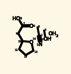 CC#N.CO.O.O=C(O)CC1CCCO1